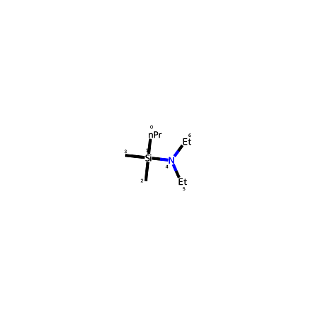 CCC[Si](C)(C)N(CC)CC